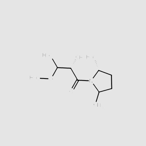 COC(C)[C@H](C)C(=O)N1C(C)CC[C@H]1C